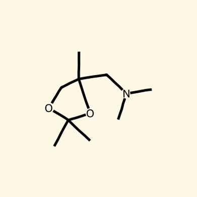 CN(C)CC1(C)COC(C)(C)O1